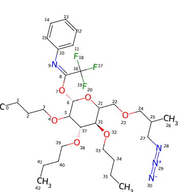 CCCCOC1[C@H](O/C(=N/c2ccccc2)C(F)(F)F)OC(COCC(C)CN=[N+]=[N-])[C@@H](OCCCC)[C@@H]1OCCCC